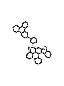 c1ccc(-c2c3c(cc4c(-c5cccc(-c6ccc7c8ccccc8c8ccccc8c7c6)c5)nc5ccccc5c24)oc2ccccc23)cc1